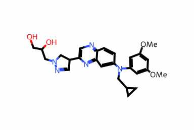 COc1cc(OC)cc(N(CC2CC2)c2ccc3ncc(C4C=NN(CC(O)CO)C4)nc3c2)c1